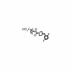 O=C(O)c1cnc(NC(=O)N2CCC(=Cc3cc(F)ccc3F)CC2)s1